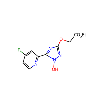 CCOC(=O)COc1nc(-c2cc(F)ccn2)n(O)n1